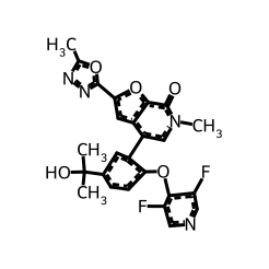 Cc1nnc(-c2cc3c(-c4cc(C(C)(C)O)ccc4Oc4c(F)cncc4F)cn(C)c(=O)c3o2)o1